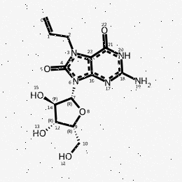 C=CCn1c(=O)n([C@@H]2O[C@H](CO)[C@H](O)[C@H]2O)c2nc(N)[nH]c(=O)c21